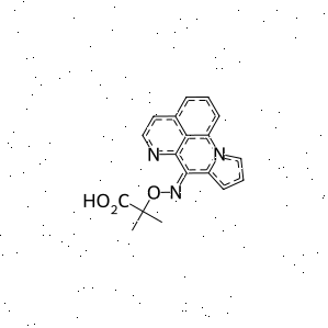 CC(C)(ON=c1c2nccc3cccc(c32)n2cccc12)C(=O)O